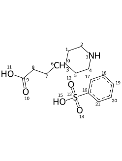 C1CCNCC1.CCCC(=O)O.O=S(=O)(O)c1ccccc1